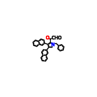 O=CC(=O)c1c(-c2ccc3ccccc3c2)c(-c2ccc3ccccc3c2)cn1Cc1ccccc1